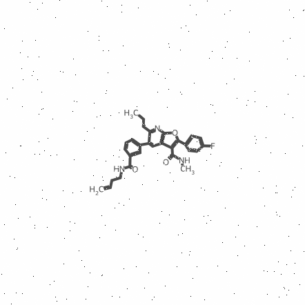 C=CCCNC(=O)c1cccc(-c2cc3c(C(=O)NC)c(-c4ccc(F)cc4)oc3nc2CCC)c1